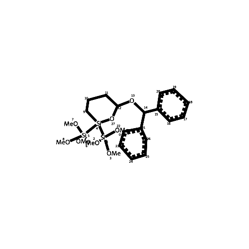 CO[Si](OC)(OC)[Si]1([Si](OC)(OC)OC)CCCC(OC(c2ccccc2)c2ccccc2)O1